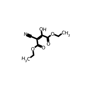 CCOC(=O)C(O)=C(C#N)C(=O)OCC